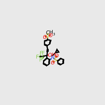 CS(=O)(=O)c1ccc(C#CC(O)(c2ccccc2N(CC2CC2)S(=O)(=O)c2ccccc2)C(F)(F)C(F)(F)F)cc1